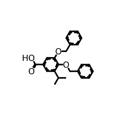 CC(C)c1cc(C(=O)O)cc(OCc2ccccc2)c1OCc1ccccc1